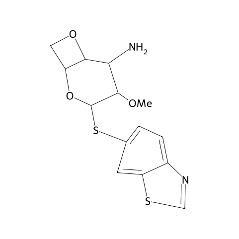 COC1C(Sc2ccc3ncsc3c2)OC2COC2C1N